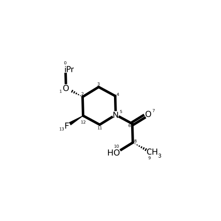 CC(C)O[C@@H]1CCN(C(=O)[C@H](C)O)C[C@H]1F